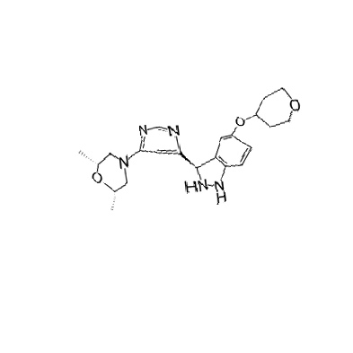 C[C@@H]1CN(c2cc([C@@H]3NNc4ccc(OC5CCOCC5)cc43)ncn2)C[C@H](C)O1